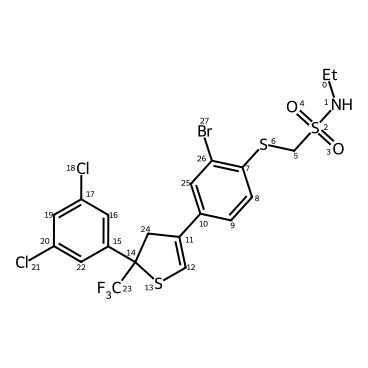 CCNS(=O)(=O)CSc1ccc(C2=CSC(c3cc(Cl)cc(Cl)c3)(C(F)(F)F)C2)cc1Br